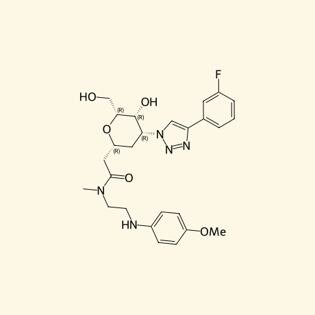 COc1ccc(NCCN(C)C(=O)C[C@H]2C[C@@H](n3cc(-c4cccc(F)c4)nn3)[C@@H](O)[C@@H](CO)O2)cc1